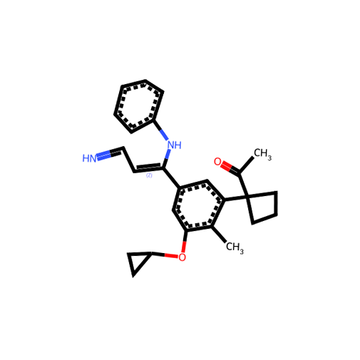 CC(=O)C1(c2cc(/C(=C/C=N)Nc3ccccc3)cc(OC3CC3)c2C)CCC1